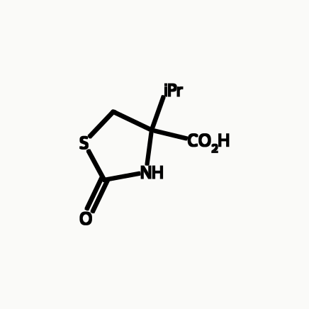 CC(C)C1(C(=O)O)CSC(=O)N1